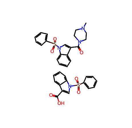 CN1CCN(C(=O)c2cn(S(=O)(=O)c3ccccc3)c3ccccc23)CC1.O=C(O)c1cn(S(=O)(=O)c2ccccc2)c2ccccc12